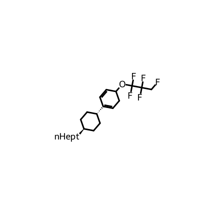 CCCCCCC[C@H]1CC[C@H](C2=CCC(OC(F)(F)C(F)(F)CF)C=C2)CC1